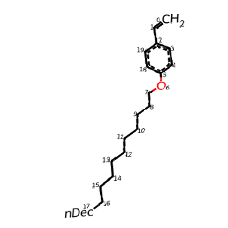 C=Cc1ccc(OCCCCCCCCCCCCCCCCCCCC)cc1